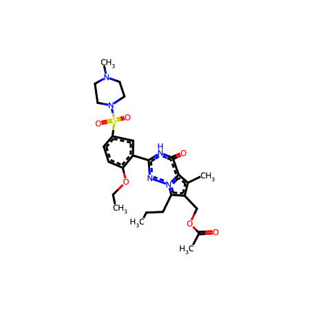 CCCc1c(COC(C)=O)c(C)c2c(=O)[nH]c(-c3cc(S(=O)(=O)N4CCN(C)CC4)ccc3OCC)nn12